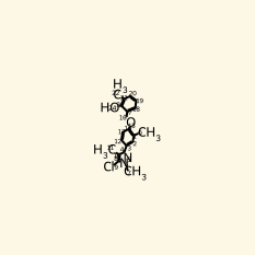 Cc1cc(-c2nn(C)c(Cl)c2C)ccc1OCc1cccc(C)c1O